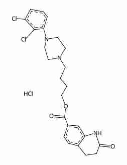 Cl.O=C1CCc2ccc(C(=O)OCCCCN3CCN(c4cccc(Cl)c4Cl)CC3)cc2N1